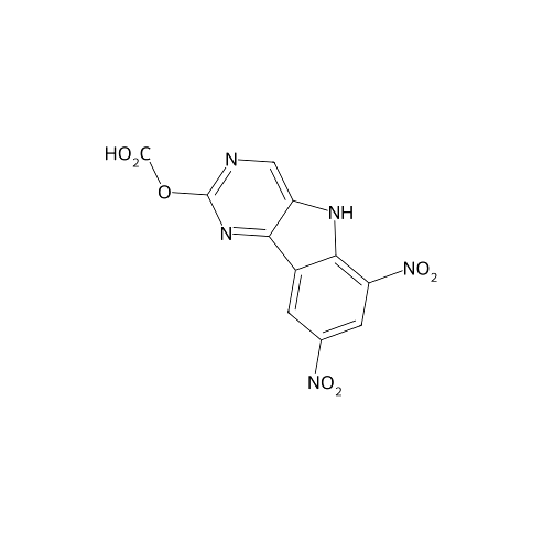 O=C(O)Oc1ncc2[nH]c3c([N+](=O)[O-])cc([N+](=O)[O-])cc3c2n1